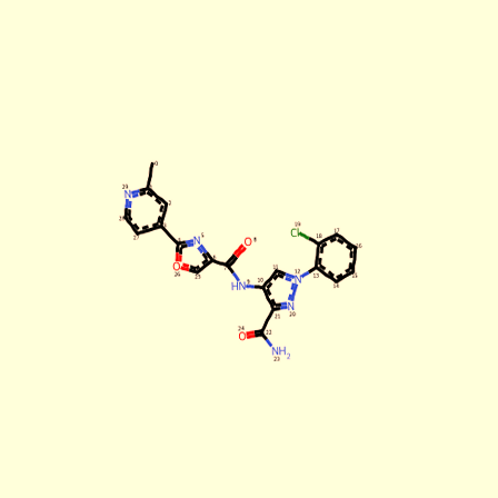 Cc1cc(-c2nc(C(=O)Nc3cn(-c4ccccc4Cl)nc3C(N)=O)co2)ccn1